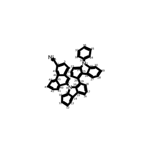 N#Cc1ccc2cc(-n3c4ccccc4c4cccc(-c5cccc6c5c5ccccc5n6-c5ccccc5)c43)c3ccccc3c2c1